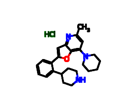 Cc1cc(N2CCCCC2)c2oc(-c3ccccc3C3CCNCC3)cc2n1.Cl